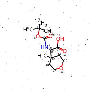 CC(C)(C)OC(=O)N[C@H](C(=O)O)C1(C)CCOCC1